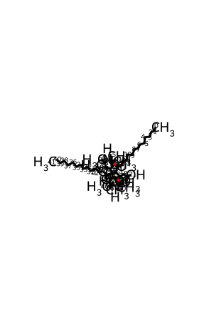 CCCCCCCCCCCCCOC(=O)C(C(CC(=O)O)C(=O)O)C(C(=O)OCCCCCCCCCCCCC)(C1CC(C)(C)NC(C)(C)C1)C1CC(C)(C)NC(C)(C)C1